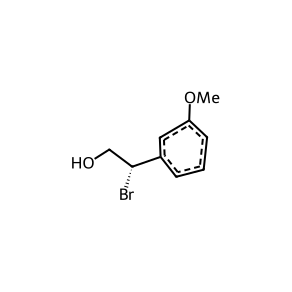 COc1cccc([C@H](Br)CO)c1